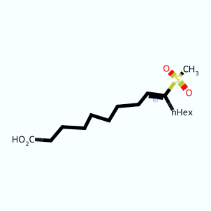 CCCCCC/C(=C\CCCCCCCC(=O)O)S(C)(=O)=O